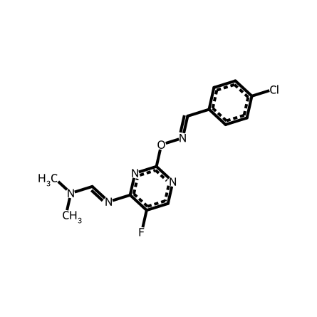 CN(C)/C=N/c1nc(O/N=C/c2ccc(Cl)cc2)ncc1F